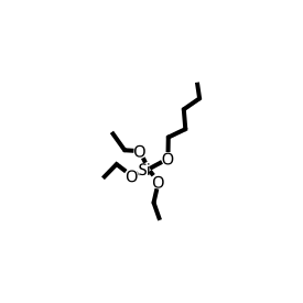 CCCCCO[Si](OCC)(OCC)OCC